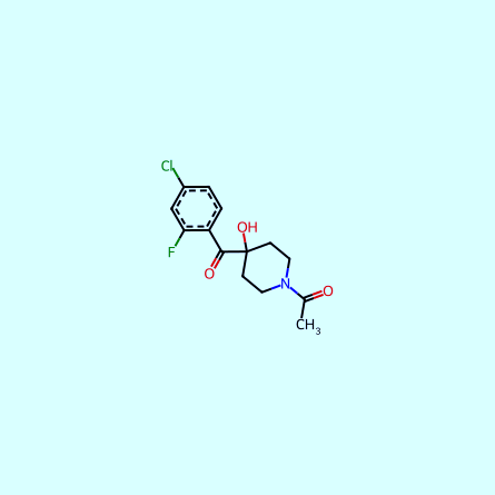 CC(=O)N1CCC(O)(C(=O)c2ccc(Cl)cc2F)CC1